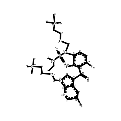 CCN(C)S(=O)(=O)N(COCC[Si](C)(C)C)c1ccc(F)c(C(=O)c2cn(COCC[Si](C)(C)C)c3ncc(Br)cc23)c1F